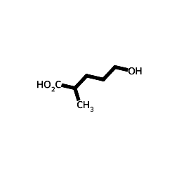 C[C](CCCO)C(=O)O